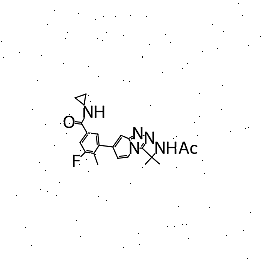 CC(=O)NC(C)(C)c1nnc2cc(-c3cc(C(=O)NC4CC4)cc(F)c3C)ccn12